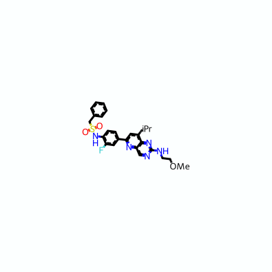 COCCNc1ncc2nc(-c3ccc(NS(=O)(=O)Cc4ccccc4)c(F)c3)cc(C(C)C)c2n1